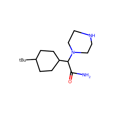 CC(C)(C)C1CCC(C(C(N)=O)N2CCNCC2)CC1